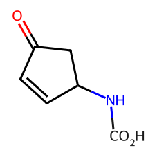 O=C1C=CC(NC(=O)O)C1